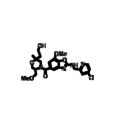 COCC1COC(C)(CCO)CN1C(=O)c1cc(OC)c2oc(NCc3cc(Cl)ccn3)nc2c1